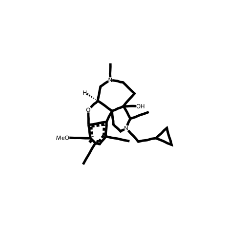 COc1c(C)cc(C)c2c1O[C@H]1CN(C)CCC3(O)C(C)N(CC4CC4)CCC213